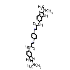 CN(C)c1nc2cc(NC(=O)/C=C/c3ccc(/C=C/C(=O)Nc4ccc5nc(N(C)C)[nH]c5c4)cc3)ccc2[nH]1